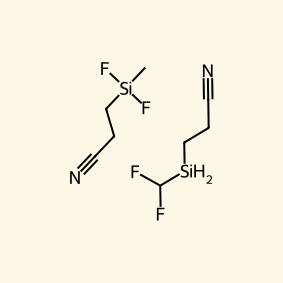 C[Si](F)(F)CCC#N.N#CCC[SiH2]C(F)F